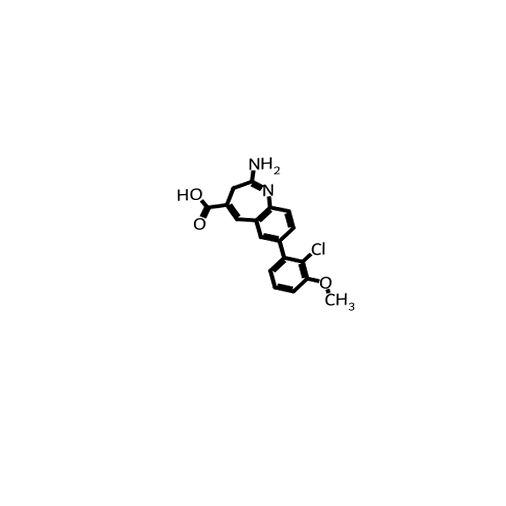 COc1cccc(-c2ccc3c(c2)C=C(C(=O)O)CC(N)=N3)c1Cl